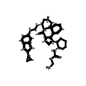 CCOC(=O)N[C@H]1CCCC[C@@H]1n1cnc(C(=O)N2CCNC[C@H]2CCOc2ccc3oc(C4CC4)nc3c2)c1-c1ccccc1